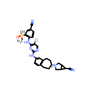 CP(C)(=O)c1cc(C#N)ccc1Nc1nc(Nc2ccc3c(c2)CC[C@@H](N2CC4C(C#N)C4C2)CC3)ncc1Cl